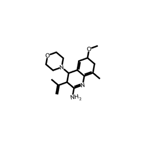 C=C(C)C1C(N)=NC2=C(C)CC(OC)C=C2C1N1CCOCC1